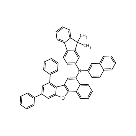 CC1(C)c2ccccc2-c2ccc(N(c3ccc4ccccc4c3)c3cc4c(oc5cc(-c6ccccc6)cc(-c6ccccc6)c54)c4ccccc34)cc21